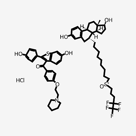 C[C@]12CC[C@@H]3c4ccc(O)cc4C[C@@H](CCCCCCCCC[S+]([O-])CCCC(F)(F)C(F)(F)F)[C@H]3[C@@H]1CC[C@@H]2O.Cl.O=C(c1ccc(OCCN2CCCCC2)cc1)c1c(-c2ccc(O)cc2)sc2cc(O)ccc12